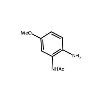 COc1ccc(N)c(NC(C)=O)c1